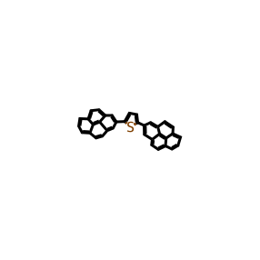 c1cc2ccc3cc(-c4ccc(-c5cc6ccc7cccc8ccc(c5)c6c78)s4)cc4ccc(c1)c2c34